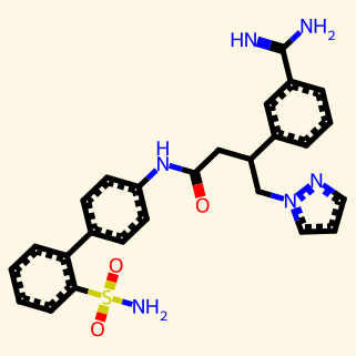 N=C(N)c1cccc(C(CC(=O)Nc2ccc(-c3ccccc3S(N)(=O)=O)cc2)Cn2cccn2)c1